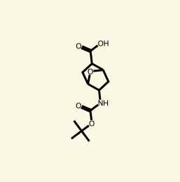 CC(C)(C)OC(=O)NC1CC2OC1CC2C(=O)O